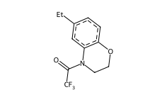 CCc1ccc2c(c1)N(C(=O)C(F)(F)F)CCO2